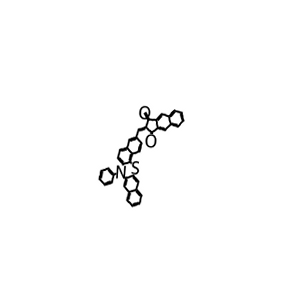 O=C1C(=Cc2ccc3c4c(ccc3c2)N(c2ccccc2)c2cc3ccccc3cc2S4)C(=O)c2cc3ccccc3cc21